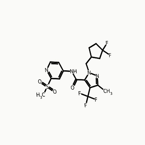 Cc1nn(CC2CCC(F)(F)C2)c(C(=O)Nc2ccnc(S(C)(=O)=O)c2)c1C(F)(F)F